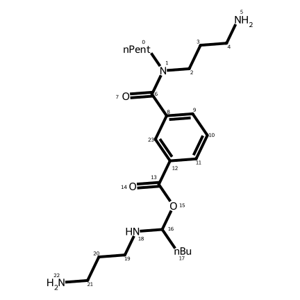 CCCCCN(CCCN)C(=O)c1cccc(C(=O)OC(CCCC)NCCCN)c1